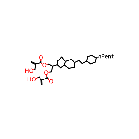 C=C(CO)C(=O)OCC(COC(=O)C(=C)CO)C1CCC2CC(CCC3CCC(CCCCC)CC3)CCC2C1